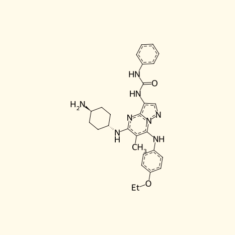 CCOc1ccc(Nc2c(C)c(N[C@H]3CC[C@H](N)CC3)nc3c(NC(=O)Nc4ccccc4)cnn23)cc1